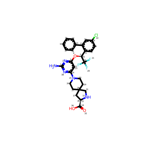 Nc1nc(O[C@@H](c2ccc(Cl)cc2-c2ccccc2)C(F)(F)F)cc(N2CCC3(CC2)CN[C@@H](C(=O)O)C3)n1